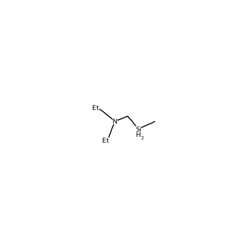 CCN(CC)C[SiH2]C